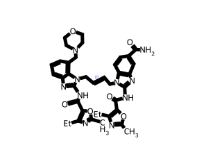 CCc1nc(C)oc1C(=O)Nc1nc2cc(C(N)=O)ccc2n1C/C=C/Cn1c(NC(=O)c2oc(C)nc2CC)nc2cccc(CN3CCOCC3)c21